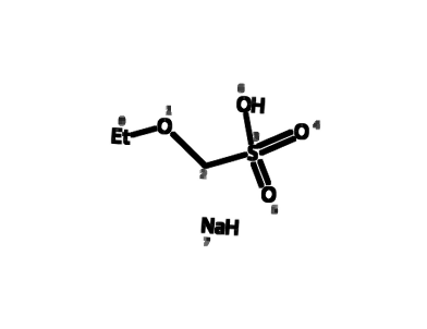 CCOCS(=O)(=O)O.[NaH]